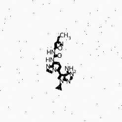 CCc1cc(NC(=O)Nc2ccc(-c3cn(C4CC4)c4ncnc(N)c34)n3ccnc23)on1